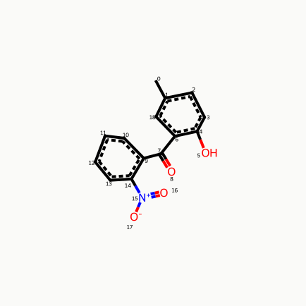 Cc1ccc(O)c(C(=O)c2ccccc2[N+](=O)[O-])c1